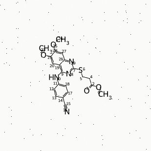 COC(=O)CCSc1nc(Nc2ccc(C#N)cc2)c2cc(OC)c(OC)cc2n1